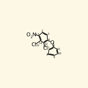 O=[N+]([O-])c1ccc(Oc2ccccc2)c(Cl)c1Cl